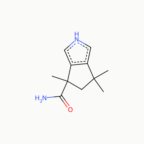 CC1(C)CC(C)(C(N)=O)c2c[nH]cc21